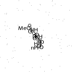 CCCOC(=O)CNC(=O)c1ccc(C(=O)NS(=O)(=O)c2ccc(C(=O)NCCc3ccccc3OC)cc2)cn1